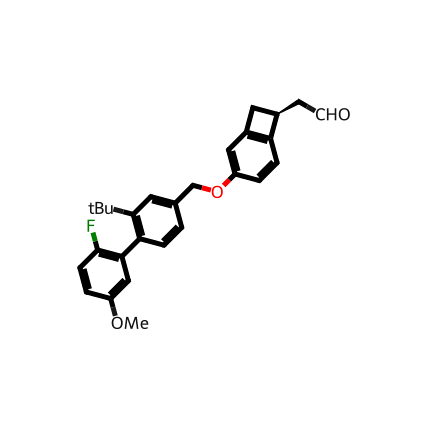 COc1ccc(F)c(-c2ccc(COc3ccc4c(c3)C[C@H]4CC=O)cc2C(C)(C)C)c1